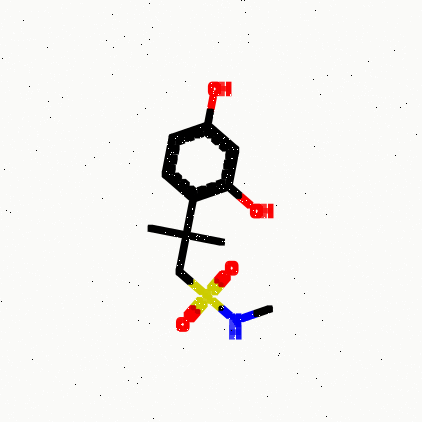 CNS(=O)(=O)CC(C)(C)c1ccc(O)cc1O